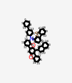 c1ccc(-c2ccc(N(c3cccc4c3oc3c(-c5ccc6ccccc6c5)c5c(cc34)oc3ccccc35)c3cccc4c3sc3ccccc34)cc2)cc1